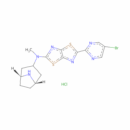 CN(c1nc2sc(-c3ncc(Br)cn3)nc2s1)C1C[C@H]2CC[C@@H](C1)N2.Cl